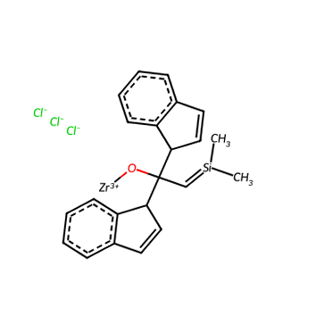 C[Si](C)=CC([O][Zr+3])(C1C=Cc2ccccc21)C1C=Cc2ccccc21.[Cl-].[Cl-].[Cl-]